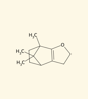 CC12CCC(C3=C1O[C]C3)C2(C)C